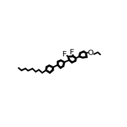 CCCCCCCCc1ccc(-c2ccc(-c3ccc(-c4ccc(OCCC)cc4)c(F)c3F)cc2)cc1